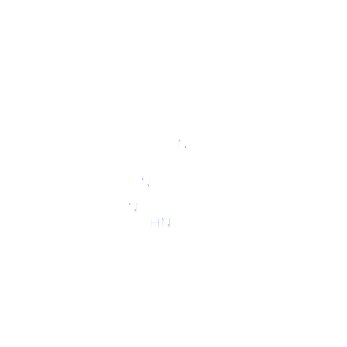 c1ccc2c(c1)nc(C1CSCN1)n2C1CCN(CC2CCCCCCC2)CC1